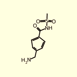 CS(=O)(=O)NC(=O)c1ccc(CN)cc1